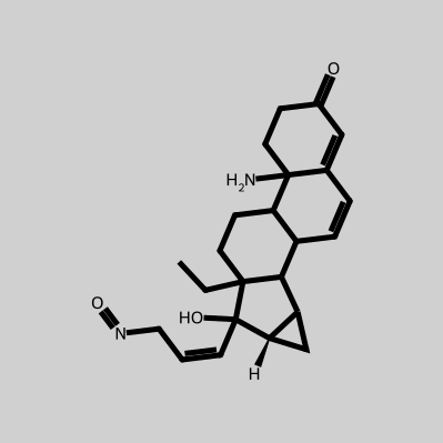 CCC12CCC3C(C=CC4=CC(=O)CCC43N)C1C1C[C@@H]1C2(O)/C=C\CN=O